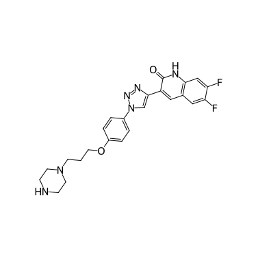 O=c1[nH]c2cc(F)c(F)cc2cc1-c1cn(-c2ccc(OCCCN3CCNCC3)cc2)nn1